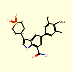 COc1c(C)cc(-c2cc(C(N)=O)c3[nH]cc(C4CCS(=O)(=O)CC4)c3c2)cc1C